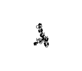 CC(C)(C)OC(=O)N1CCN(c2ccc(-c3c(NC(=O)OCC[Si](C)(C)C)nc4c(N5CCOCC5)ccnn34)cn2)CC1